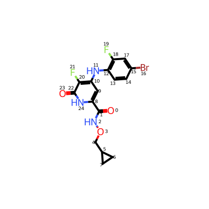 O=C(NOCC1CC1)c1cc(Nc2ccc(Br)cc2F)c(F)c(=O)[nH]1